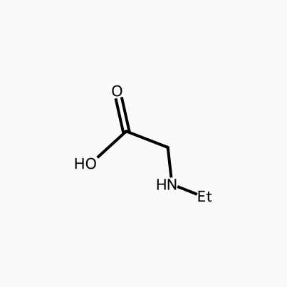 [CH2]CNCC(=O)O